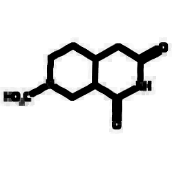 O=C1CC2CCN(C(=O)O)CC2C(=O)N1